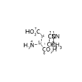 CC#N.CC#N.NC(CC(=O)O)C(=O)O